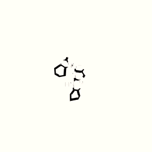 Cc1cnc(Nc2ccccc2F)nc1Nn1c(=O)oc2ccccc21